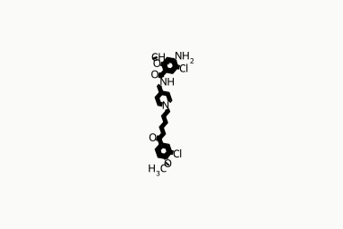 COc1ccc(C(=O)CCCCCN2CCC(CNC(=O)c3cc(Cl)c(N)cc3OC)CC2)cc1Cl